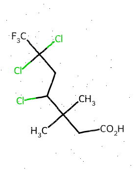 CC(C)(CC(=O)O)C(Cl)CC(Cl)(Cl)C(F)(F)F